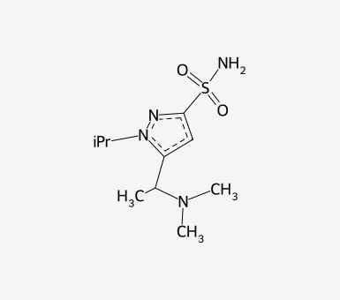 CC(c1cc(S(N)(=O)=O)nn1C(C)C)N(C)C